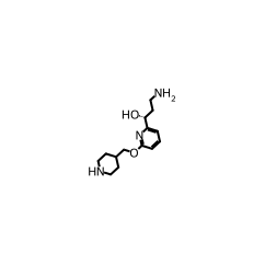 NCC[C@@H](O)c1cccc(OCC2CCNCC2)n1